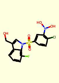 O=S(=O)(c1ccc(Cl)c(N(O)O)c1)n1cc(CO)c2cccc(F)c21